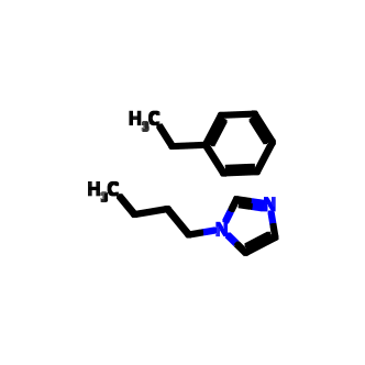 CCCCn1ccnc1.CCc1ccccc1